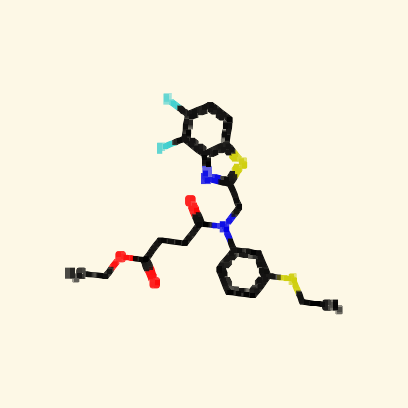 CCOC(=O)CCC(=O)N(Cc1nc2c(F)c(F)ccc2s1)c1cccc(SCC)c1